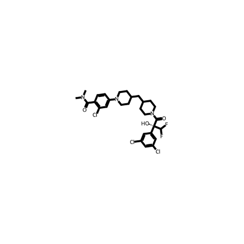 CN(C)C(=O)c1ccc(N2CCC(CC3CCN(C(=O)[C@](O)(c4cc(Cl)cc(Cl)c4)C(F)F)CC3)CC2)cc1Cl